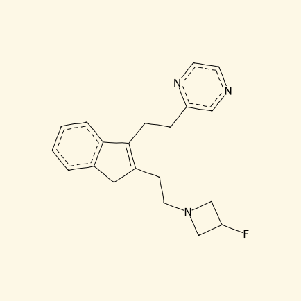 FC1CN(CCC2=C(CCc3cnccn3)c3ccccc3C2)C1